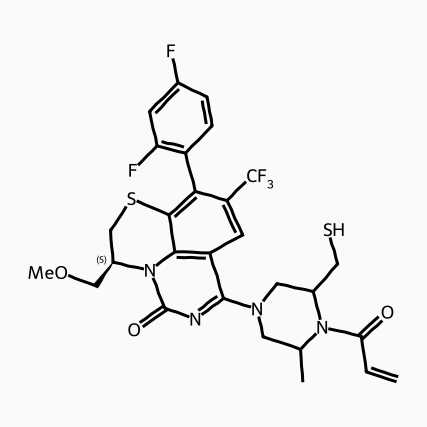 C=CC(=O)N1C(C)CN(c2nc(=O)n3c4c(c(-c5ccc(F)cc5F)c(C(F)(F)F)cc24)SC[C@@H]3COC)CC1CS